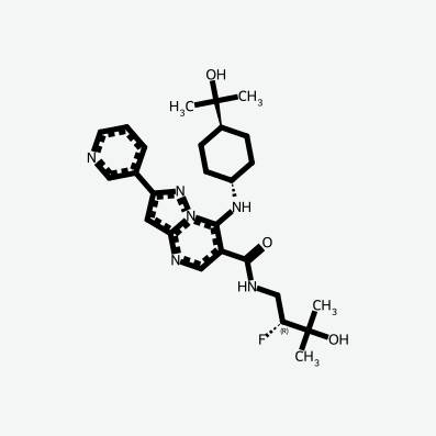 CC(C)(O)[C@H](F)CNC(=O)c1cnc2cc(-c3cccnc3)nn2c1N[C@H]1CC[C@H](C(C)(C)O)CC1